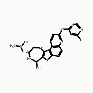 CN(C)C[C@@H]1CNc2c(sc3ccc4nc(Nc5cc(F)ncn5)ccc4c23)C(O)N1